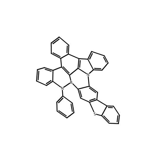 c1ccc(N2B3c4cc5sc6ccccc6c5cc4-n4c5ccccc5c5c6ccccc6c(c3c54)-c3ccccc32)cc1